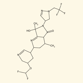 CC1CC(C2C=NCC(OC(F)F)C2)N=C2C1C(=O)N(C1C=NN(CC(F)(F)F)C1)C2(C)O